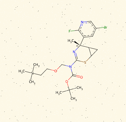 CC(C)(C)OC(=O)N(COCC[Si](C)(C)C)C1=N[C@](C)(c2cc(Br)cnc2F)C2CC2S1